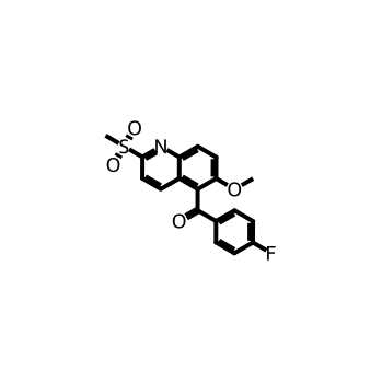 COc1ccc2nc(S(C)(=O)=O)ccc2c1C(=O)c1ccc(F)cc1